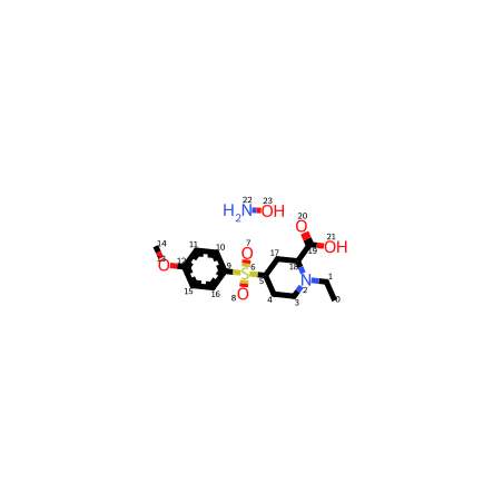 CCN1CCC(S(=O)(=O)c2ccc(OC)cc2)CC1C(=O)O.NO